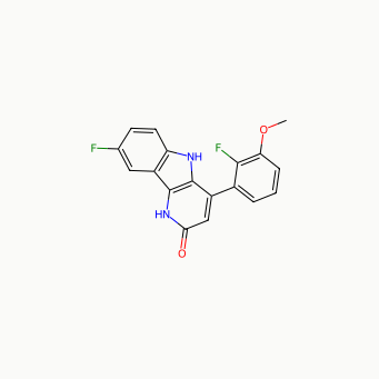 COc1cccc(-c2cc(=O)[nH]c3c2[nH]c2ccc(F)cc23)c1F